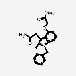 COC(=O)COc1cccc2c1c(CC(N)=O)c(C)n2Cc1ccccc1